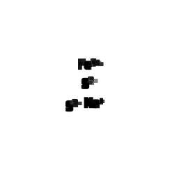 [Fe+3].[Na+].[S-2].[S-2]